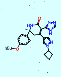 CCCCOc1ccc([C@]2(C)CC(c3cnn(C4CCC4)c3)=C(c3nnc[nH]3)C(=O)N2)cc1